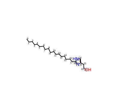 CCCCCCCCCCCCCCCCCCc1nc(CCO)c[nH]1